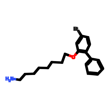 CCc1ccc(-c2ccccc2)c(OCCCCCCCCN)c1